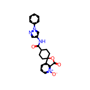 O=C1OC2(CCC(C(=O)Nc3cnn(-c4ccccc4)c3)CC2)c2ccc[n+]([O-])c21